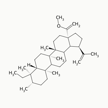 C=C(C)[C@@H]1CC[C@]2(C(=C)OC)CC[C@]3(C)C(CCC4[C@@]5(C)CC[C@H](C)[C@@](C)(CC)[C@@H]5CC[C@]43C)C12